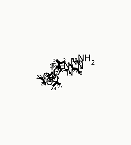 C=C(Cn1cnc2c(C)nc(N)nc21)C(F)(F)OCP(=O)(OC(C)C)OC(C)C